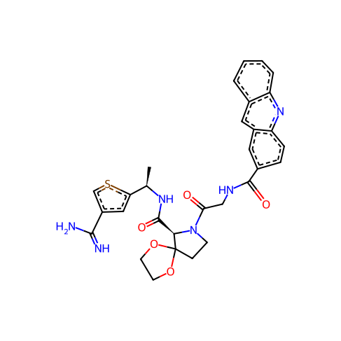 C[C@@H](NC(=O)[C@H]1N(C(=O)CNC(=O)c2ccc3nc4ccccc4cc3c2)CCC12OCCO2)c1cc(C(=N)N)cs1